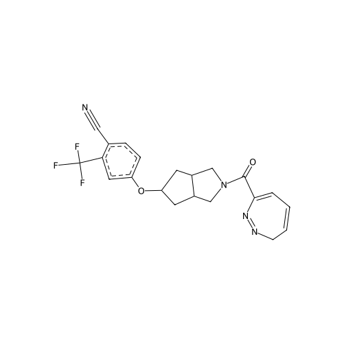 N#Cc1ccc(OC2CC3CN(C(=O)C4=CC=CCN=N4)CC3C2)cc1C(F)(F)F